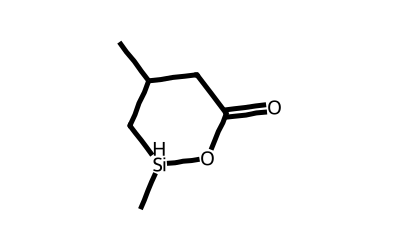 CC1CC(=O)O[SiH](C)C1